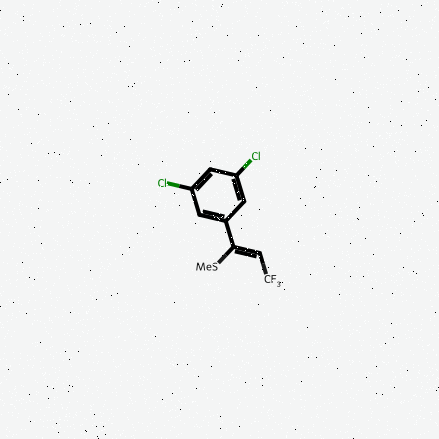 CSC(=CC(F)(F)F)c1cc(Cl)cc(Cl)c1